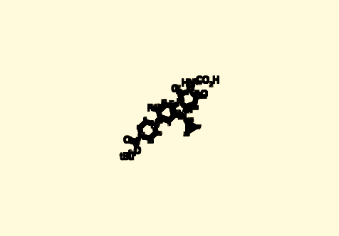 CC(C)(C)OC(=O)N1CCN(c2cc3c(cc2F)n2c(=O)n(NC(=O)O)c(=O)cc2n3C2CC2)CC1